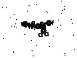 O=C(NCc1ccncc1)Nc1ccc(S(=O)(=O)N(Cc2ccc(F)cc2)Cc2ccc(Cl)c(Cl)c2)cc1